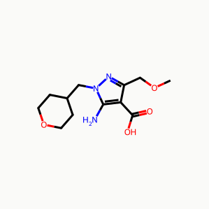 COCc1nn(CC2CCOCC2)c(N)c1C(=O)O